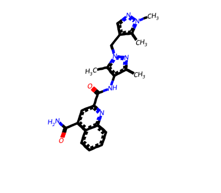 Cc1nn(Cc2cnn(C)c2C)c(C)c1NC(=O)c1cc(C(N)=O)c2ccccc2n1